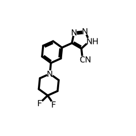 N#Cc1[nH]nnc1-c1cccc(N2CCC(F)(F)CC2)c1